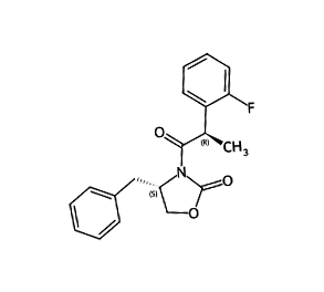 C[C@@H](C(=O)N1C(=O)OC[C@@H]1Cc1ccccc1)c1ccccc1F